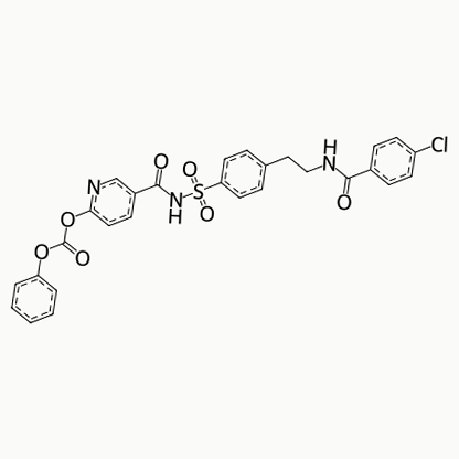 O=C(Oc1ccccc1)Oc1ccc(C(=O)NS(=O)(=O)c2ccc(CCNC(=O)c3ccc(Cl)cc3)cc2)cn1